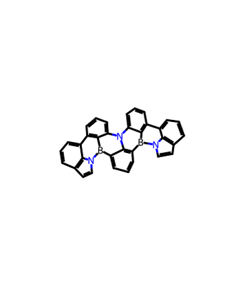 c1cc2c3c(c1)B1c4c(cccc4N3c3cccc4c3B2n2ccc3cccc-4c32)-c2cccc3ccn1c23